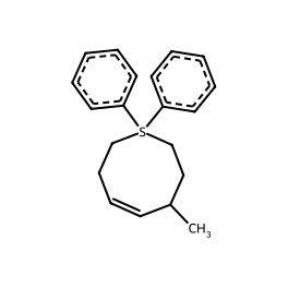 CC1/C=C\CCS(c2ccccc2)(c2ccccc2)CC1